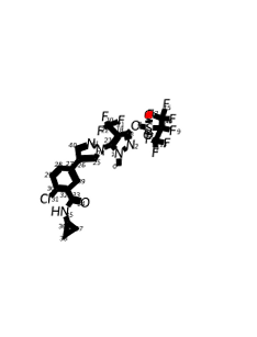 Cn1nc(OS(=O)(=O)C(F)(C(F)(F)F)C(F)(F)F)c(C(F)(F)F)c1-n1cc(-c2ccc(Cl)c(C(=O)NC3CC3)c2)cn1